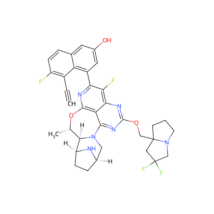 C#Cc1c(F)ccc2cc(O)cc(-c3nc4c5c(nc(OCC67CCCN6CC(F)(F)C7)nc5c3F)N3C[C@H]5CC[C@H](N5)[C@H]3[C@H](C)O4)c12